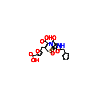 O=C(Cc1ccccc1)N[C@@H]1C(=O)N2C(C(=O)O)=C(Cc3ccc(C(=O)O)o3)C[S+]([O-])[C@H]12